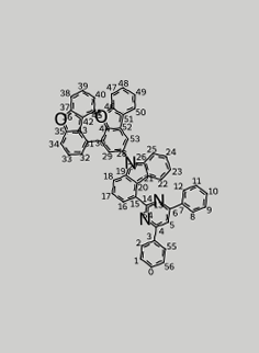 c1ccc(-c2cc(-c3ccccc3)nc(-c3cccc4c3c3ccccc3n4-c3cc(-c4cccc5oc6ccccc6c45)c4oc5ccccc5c4c3)n2)cc1